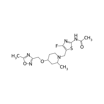 CC(=O)Nc1nc(F)c(CN2CCC(OCc3noc(C)n3)CC2C)s1